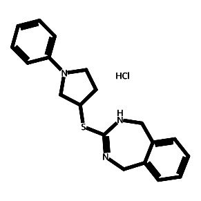 Cl.c1ccc(N2CCC(SC3=NCc4ccccc4CN3)C2)cc1